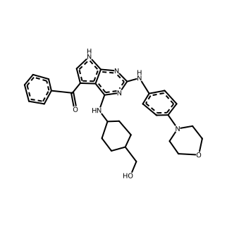 O=C(c1ccccc1)c1c[nH]c2nc(Nc3ccc(N4CCOCC4)cc3)nc(NC3CCC(CO)CC3)c12